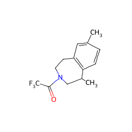 Cc1ccc2c(c1)CCN(C(=O)C(F)(F)F)CC2C